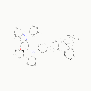 c1ccc(-c2ccccc2N(c2ccc(-c3ccc4c(c3)-c3ccccc3C43C4CC5CC(C4)CC3C5)cc2)c2ccc3c4ccccc4n(-c4ccccc4)c3c2)cc1